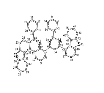 c1ccc(-c2nc(-c3cccc4c3nc(-c3ccccc3)c3ccc5oc6ccccc6c5c34)cc(-c3cccc4sc5ccccc5c34)n2)cc1